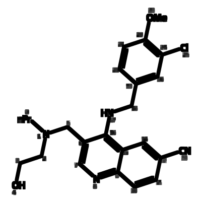 CCCN(CCO)Cc1cnc2ccc(C#N)cc2c1NCc1ccc(OC)c(Cl)c1